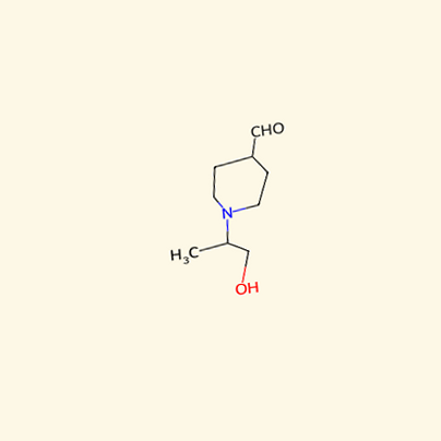 CC(CO)N1CCC(C=O)CC1